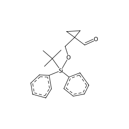 CC(C)(C)[Si](OCC1(C=O)CC1)(c1ccccc1)c1ccccc1